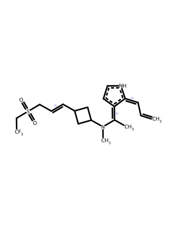 C=C/C=c1/[nH]cc/c1=C(/C)N(C)C1CC(/C=C/CS(=O)(=O)CC(F)(F)F)C1